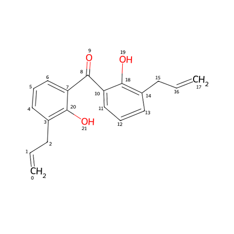 C=CCc1cccc(C(=O)c2cccc(CC=C)c2O)c1O